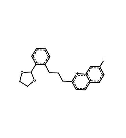 Clc1ccc2ccc(CCCc3ccccc3C3OCCO3)nc2c1